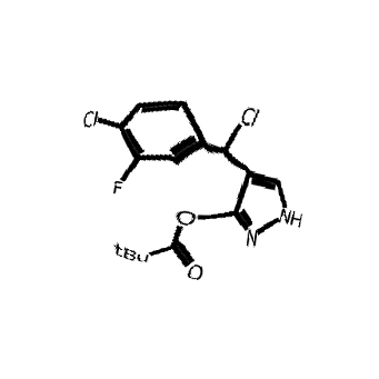 CC(C)(C)C(=O)Oc1n[nH]cc1C(Cl)c1ccc(Cl)c(F)c1